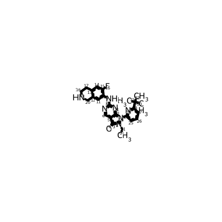 CCn1c(=O)c2cnc(Nc3cc4c(cc3F)CCNC4)nc2n1-c1cccc(C(C)(C)C)n1